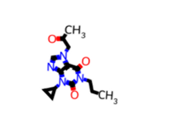 CCCn1c(=O)c2c(ncn2CC(C)=O)n(C2CC2)c1=O